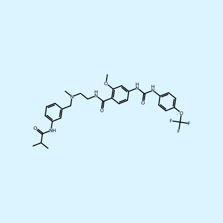 COc1cc(NC(=O)Nc2ccc(OC(F)(F)F)cc2)ccc1C(=O)NCCN(C)Cc1cccc(NC(=O)C(C)C)c1